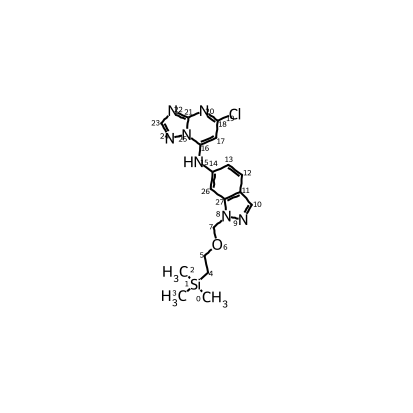 C[Si](C)(C)CCOCn1ncc2ccc(Nc3cc(Cl)nc4ncnn34)cc21